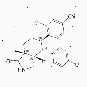 C[C@@]12CC[C@@H](c3ccc(C#N)cc3Cl)[C@H](c3ccc(Cl)cc3)[C@@H]1CNC2=O